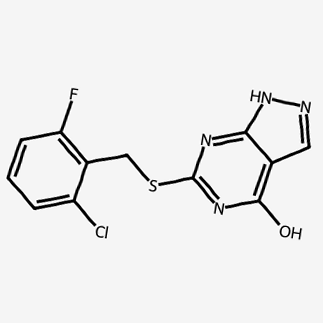 Oc1nc(SCc2c(F)cccc2Cl)nc2[nH]ncc12